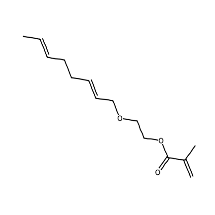 C=C(C)C(=O)OCCOCC=CCCC=CC